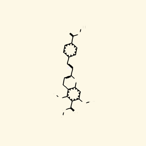 COC(=O)c1ccc(/C=C/C2=CCc3c(cc(OC)c(C(=O)OC)c3OC)O2)cc1